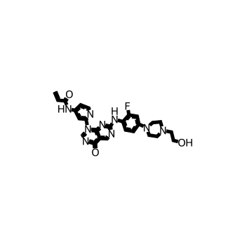 C=CC(=O)Nc1ccnc(-n2cnc(=O)c3cnc(Nc4ccc(N5CCN(CCO)CC5)cc4F)nc32)c1